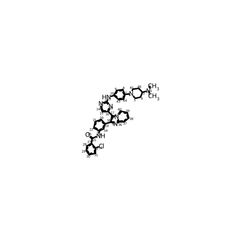 CN(C)C1CCN(c2ccc(Nc3nccc(-c4c(-c5cccc(NC(=O)c6ccccc6Cl)c5)nc5ccccn45)n3)cc2)CC1